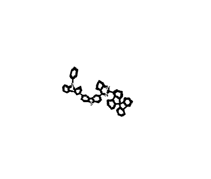 c1ccc(-n2c3ccccc3c3cc(-c4ccc5sc6ccc(-c7nc(-c8cccc9c8-c8ccccc8C98c9ccccc9-c9ccccc98)nc8ccccc78)cc6c5c4)ccc32)cc1